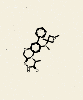 CC1C(=O)NN=C2COc3cc(-c4ccccc4)c(N(C)C4(C)CN(C)C4)cc3N21